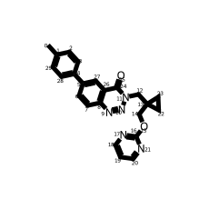 Cc1ccc(-c2ccc3nnn(CC4(COc5ncccn5)CC4)c(=O)c3c2)cc1